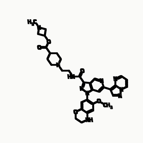 COc1cc2c(cc1-n1nc(C(=O)NCCN3CCC(C(=O)OC4CN(C)C4)CC3)c3cnc(-c4cnn5cccnc45)cc31)OCCN2